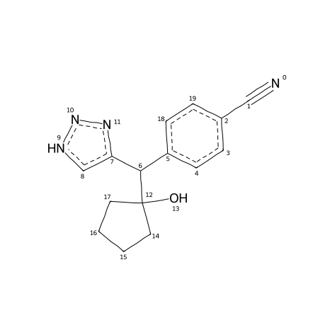 N#Cc1ccc(C(c2c[nH]nn2)C2(O)CCCC2)cc1